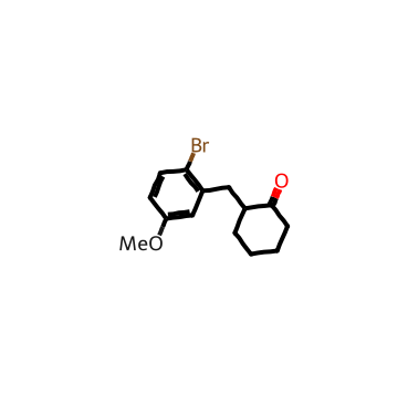 COc1ccc(Br)c(CC2CCCCC2=O)c1